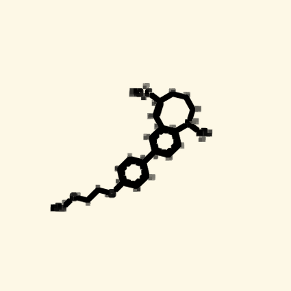 CCCCOCCOc1ccc(-c2ccc3c(c2)/C=C(/C(=O)O)CCCN3CCCC)cc1